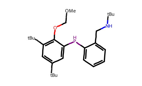 COCOc1c(Pc2ccccc2CNC(C)(C)C)cc(C(C)(C)C)cc1C(C)(C)C